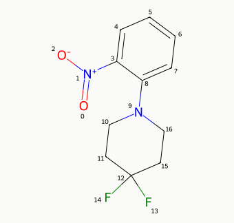 O=[N+]([O-])c1ccccc1N1CCC(F)(F)CC1